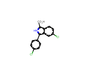 O=C(O)c1[nH]c(-c2ccc(Cl)cc2)c2cc(Cl)ccc12